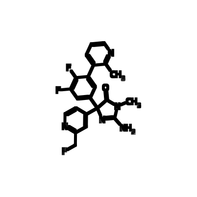 Cc1ncccc1-c1cc(C2(c3ccnc(CF)c3)N=C(N)N(C)C2=O)cc(F)c1F